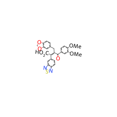 COc1ccc(C(=O)C(Cc2ccc3c(c2)OCO3)=C(C(=O)O)c2ccc3nsnc3c2)cc1OC